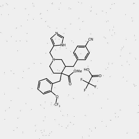 COC(=O)C1(Cc2ccccc2OC(F)(F)F)CCN(Cc2cnc[nH]2)CC1Cc1ccc(C#N)cc1.O=C(O)C(F)(F)F